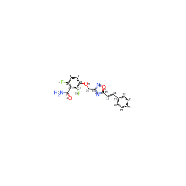 NC(=O)c1c(F)ccc(OCc2noc(/C=C/c3ccccc3)n2)c1F